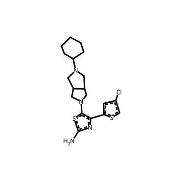 Nc1nc(-c2cc(Cl)cs2)c(N2CC3CN(C4CCCCC4)CC3C2)s1